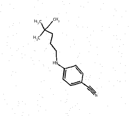 CC(C)(C)CCCNc1ccc(C#N)cc1